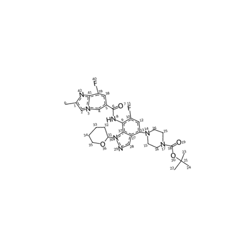 Cc1cn2cc(C(=O)Nc3c(F)cc(N4CCN(C(=O)OC(C)(C)C)CC4)c4cnn(C5CCCCO5)c34)cc(F)c2n1